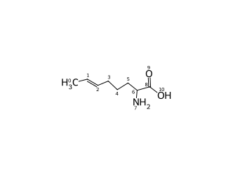 C/C=C/CCCC(N)C(=O)O